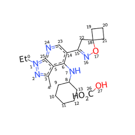 CCn1nc(C)c2c(NC3CCCCC3)c(C3=NOC4(CCC4)C3)cnc21.O=C(O)O